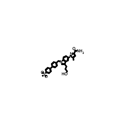 Cc1cc(C(N)=O)nn1-c1ccc2c(c1)c(CCCO)cn2Cc1ccc(-c2ccc(S(C)(=O)=O)cc2)cc1